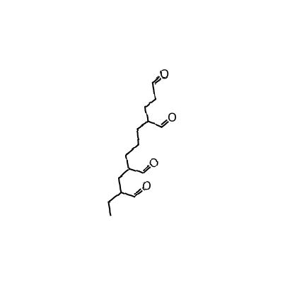 CCC(C=O)CC(C=O)CCCC(C=O)CCC=O